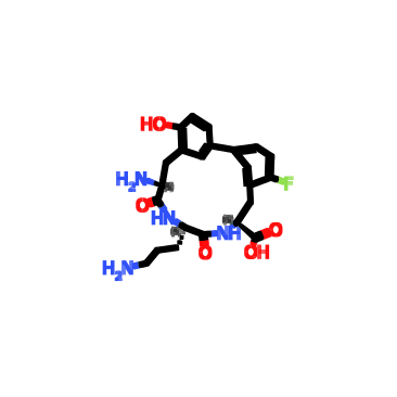 NCCC[C@@H]1NC(=O)[C@@H](N)Cc2cc(ccc2O)-c2ccc(F)c(c2)C[C@@H](C(=O)O)NC1=O